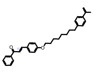 C=C(C)c1ccc(CCCCCCCCOc2ccc(/C=C/C(=O)c3ccccc3)cc2)cc1